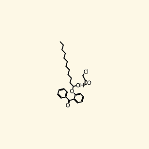 CCCCCCCCCCCC(O)Oc1ccccc1C(=O)c1ccccc1.ClCC1CO1